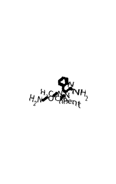 CCCCCc1nc2c(N)nc3ccccc3c2n1CC(C)(C)OCCN